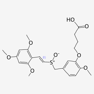 COc1cc(OC)c(/C=C/[S+]([O-])Cc2ccc(OC)c(OCCCC(=O)O)c2)c(OC)c1